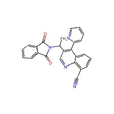 CC(c1cnc2c(C#N)cccc2c1-c1ccccn1)N1C(=O)c2ccccc2C1=O